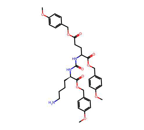 COc1ccc(COC(=O)CCC(NC(=O)N[C@H](CCCCN)C(=O)OCc2ccc(OC)cc2)C(=O)OCc2ccc(OC)cc2)cc1